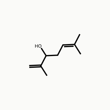 C=C(C)C(O)CC=C(C)C